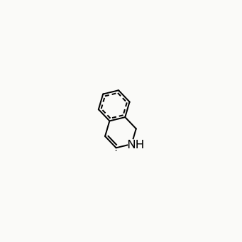 [C]1=Cc2ccccc2CN1